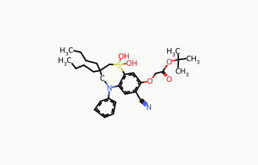 CCCCC1(CCCC)CN(c2ccccc2)c2cc(C#N)c(OCC(=O)OC(C)(C)C)cc2S(O)(O)C1